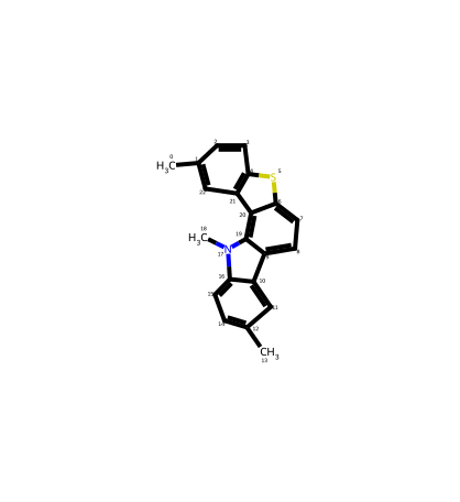 Cc1ccc2sc3ccc4c5cc(C)ccc5n(C)c4c3c2c1